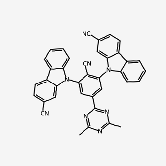 Cc1nc(C)nc(-c2cc(-n3c4ccccc4c4ccc(C#N)cc43)c(C#N)c(-n3c4ccccc4c4ccc(C#N)cc43)c2)n1